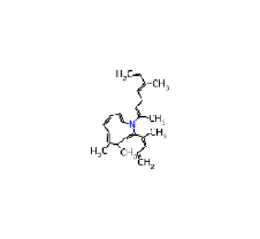 C=C/C=C(C)\C1=C/C(C)/C(C)=C/C=C\C=C\N1/C(C)=C/C/C=C(\C)C=C